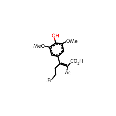 COc1cc(C(CCC(C)C)=C(C(C)=O)C(=O)O)cc(OC)c1O